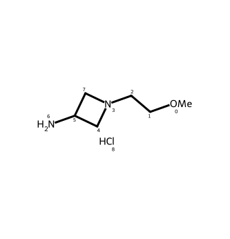 COCCN1CC(N)C1.Cl